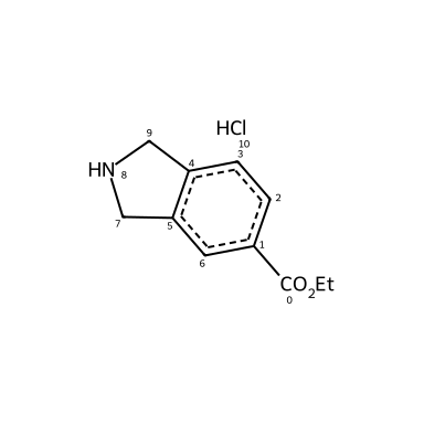 CCOC(=O)c1ccc2c(c1)CNC2.Cl